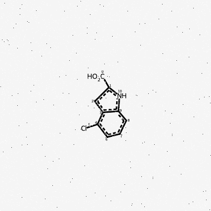 O=C(O)c1cc2c(Cl)cccc2[nH]1